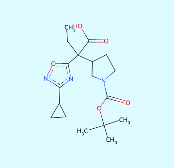 CCC(C(=O)O)(c1nc(C2CC2)no1)C1CCN(C(=O)OC(C)(C)C)C1